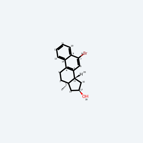 C[C@]12CCc3c(cc(Br)c4ccccc34)[C@@H]1C[C@@H](O)C2